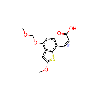 COCOc1ccc(/C=C\C(=O)O)c2sc(OC)cc12